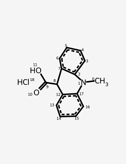 CN1c2ccccc2C(C(=O)O)c2ccccc21.Cl